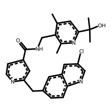 Cc1cc(C(C)(C)O)nc(C)c1CNC(=O)c1ccnc(Cc2ccc3ncc(Cl)cc3c2)c1